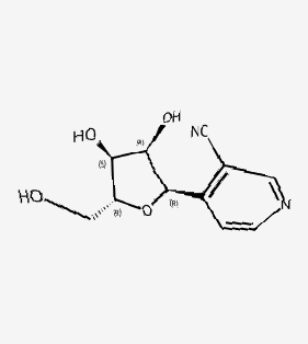 N#Cc1cnccc1[C@H]1O[C@H](CO)[C@@H](O)[C@H]1O